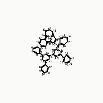 c1ccc(-c2cc(-c3ccccc3)cc(-c3nc(-c4ccccc4)nc(-n4c5ccccc5c5c4c4c6ccccc6c6cccc5n64)n3)c2)cc1